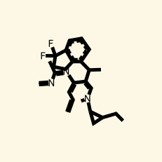 C=C/C=C(/N=C(/C)N=C)C(=C/N(C)C1CC1CC)\C(C)c1cccc2c1CCC2(F)F